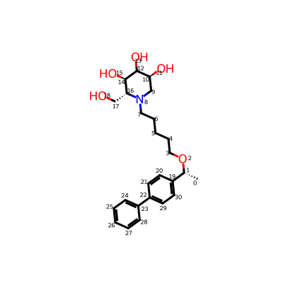 C[C@@H](OCCCCCN1C[C@H](O)C(O)[C@H](O)[C@H]1CO)c1ccc(-c2ccccc2)cc1